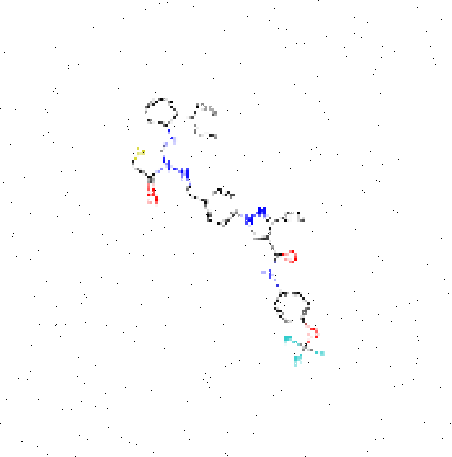 Cc1nn(-c2ccc(/C=N/N3C(=O)CS/C3=N\c3ccccc3C(C)C)cc2)cc1C(=O)Nc1ccc(OC(F)(F)F)cc1